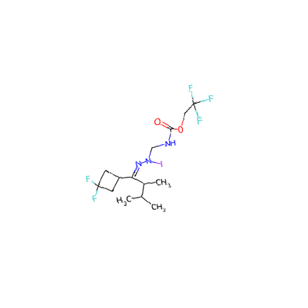 CC(C)C(C)/C(=N\N(I)CNC(=O)OCC(F)(F)F)C1CC(F)(F)C1